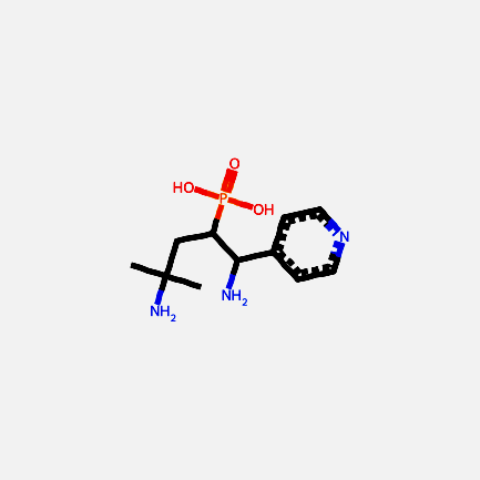 CC(C)(N)CC(C(N)c1ccncc1)P(=O)(O)O